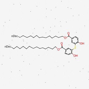 CCCCCCCCCCCCCCCCCCCCCCCCOC(=O)c1ccc(O)c(Sc2cc(C(=O)OCCCCCCCCCCCCCCCCCCCCCCCC)ccc2O)c1